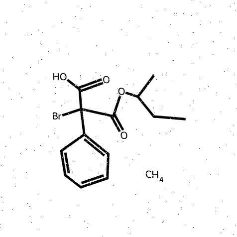 C.CCC(C)OC(=O)C(Br)(C(=O)O)c1ccccc1